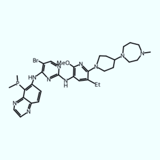 CCc1cc(Nc2ncc(Br)c(Nc3ccc4nccnc4c3P(C)C)n2)c(OC)nc1N1CCC(N2CCCN(C)CC2)CC1